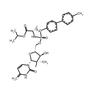 C=C1C=CN([C@@H]2O[C@H](COP(=O)(N[C@@H](C)C(=O)OC(C)C)Oc3ccc(-c4ccc(C)cc4)cc3)[C@@H](O)[C@@]2(C)F)C(=O)N1